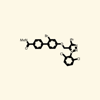 CNC(=O)c1ccc(-c2ccc(OCc3c(C(C)C)nnn3-c3c(Cl)cccc3Cl)cc2Br)cc1